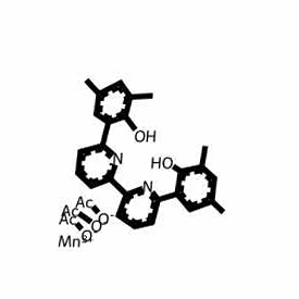 CC(=O)[O-].CC(=O)[O-].CC(=O)[O-].Cc1cc(C)c(O)c(-c2cccc(-c3cccc(-c4cc(C)cc(C)c4O)n3)n2)c1.[Mn+3]